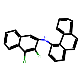 Clc1c(Nc2cccc3ccc4ccccc4c23)cc2ccccc2c1Cl